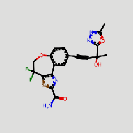 Cc1nnc(C(C)(O)C#Cc2ccc3c(c2)-c2nc(C(N)=O)sc2C(F)(F)CO3)o1